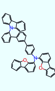 c1cc(-c2ccc(N(c3cccc4c3oc3ccccc34)c3cccc4c3oc3ccccc34)cc2)cc(-c2ccccc2-n2c3ccccc3c3ccccc32)c1